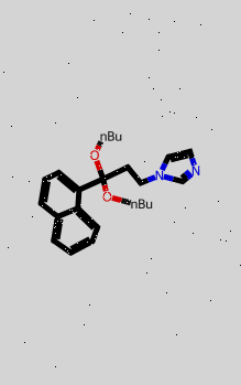 CCCCOC(CCn1ccnc1)(OCCCC)c1cccc2ccccc12